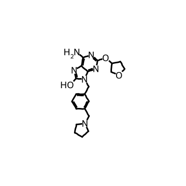 Nc1nc(OC2CCOC2)nc2c1nc(O)n2Cc1cccc(CN2CCCC2)c1